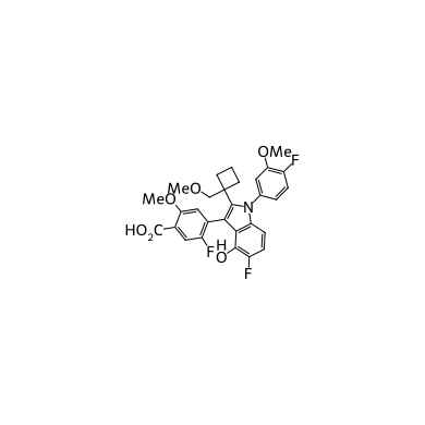 COCC1(c2c(-c3cc(OC)c(C(=O)O)cc3F)c3c(O)c(F)ccc3n2-c2ccc(F)c(OC)c2)CCC1